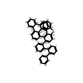 c1ccc(-c2ccccc2-c2ccccc2-c2ccc3sc4ccccc4c3c2-c2cccc3c4ccccc4c4ccccc4c23)cc1